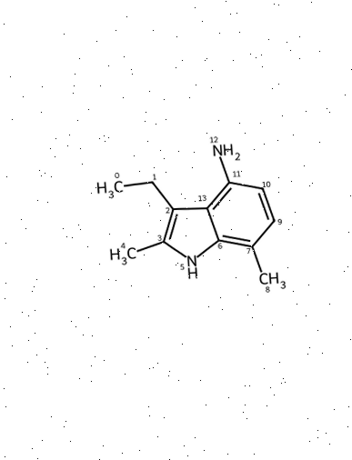 CCc1c(C)[nH]c2c(C)ccc(N)c12